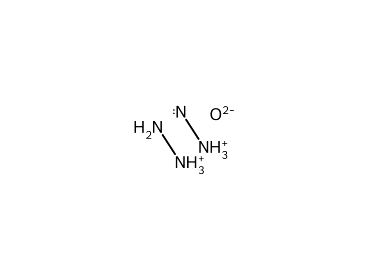 N[NH3+].[N][NH3+].[O-2]